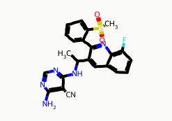 CC(Nc1ncnc(N)c1C#N)c1cc2cccc(F)c2nc1-c1ccccc1S(C)(=O)=O